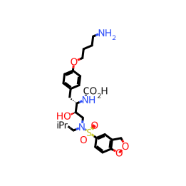 CC(C)CN(C[C@@H](O)[C@H](Cc1ccc(OCCCCN)cc1)NC(=O)O)S(=O)(=O)c1ccc2c(c1)COO2